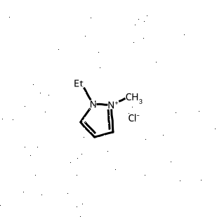 CCn1ccc[n+]1C.[Cl-]